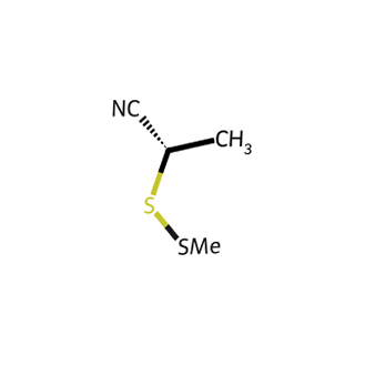 CSS[C@@H](C)C#N